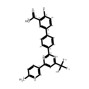 Cc1ccc(-c2cc(C(F)(F)F)nc(-c3ccc(-c4ccc(F)c(C(=O)O)c4)cc3)n2)cn1